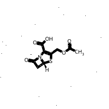 CC(=O)OCC1=C(C(=O)O)N2C(=O)C[C@H]2S1